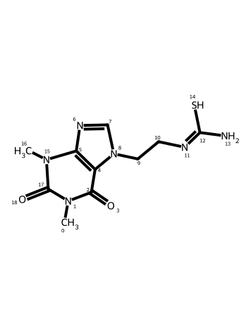 Cn1c(=O)c2c(ncn2CCN=C(N)S)n(C)c1=O